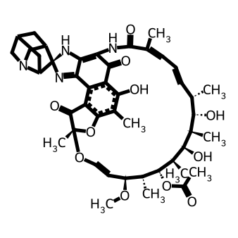 CO[C@H]1/C=C/O[C@@]2(C)Oc3c(C)c(O)c4c(c3C2=O)C2=N[C@@]3(NC2=C(NC(=O)/C(C)=C\C=C\[C@H](C)[C@H](O)[C@@H](C)[C@@H](O)[C@@H](C)[C@H](OC(C)=O)[C@@H]1C)C4=O)C1CC2CC3N(C2)C1